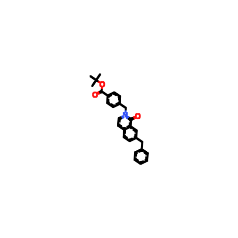 CC(C)(C)OC(=O)c1ccc(Cn2ccc3ccc(Cc4ccccc4)cc3c2=O)cc1